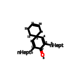 CCCCCCCC1=CC2(C=C(CCCCCCC)C1=O)CC=CCC2